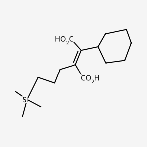 C[Si](C)(C)CCC/C(C(=O)O)=C(\C(=O)O)C1CCCCC1